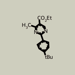 CCOC(=O)c1cnc(-c2ccc(C(C)(C)C)cc2)nc1C